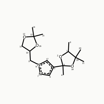 CC1OC(C)(c2cnn(CC3COC(C)(C)O3)c2)OC1(C)C